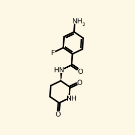 Nc1ccc(C(=O)N[C@@H]2CCC(=O)NC2=O)c(F)c1